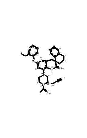 CCc1ncccc1Oc1nc2c(c(N3CCN(C(C)=O)[C@@H](CC#N)C3)n1)NC(=O)C1(CCCc3ccccc31)C2